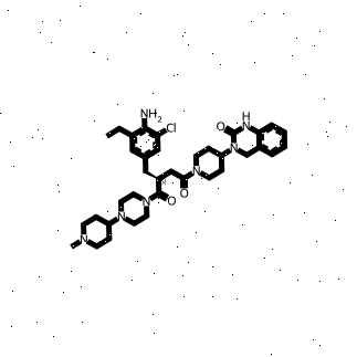 CCc1cc(C[C@@H](CC(=O)N2CCC(N3Cc4ccccc4NC3=O)CC2)C(=O)N2CCN(C3CCN(C)CC3)CC2)cc(Cl)c1N